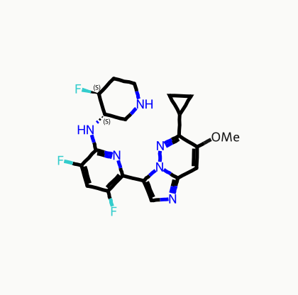 COc1cc2ncc(-c3nc(N[C@H]4CNCC[C@@H]4F)c(F)cc3F)n2nc1C1CC1